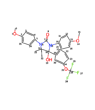 COc1ccc(N2C(=O)N(c3ccc(OC)cc3)C(O)(c3cccc(OC(F)(F)F)c3)C2(C)C)cc1